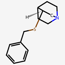 c1ccc(CS[C@@H]2CN3CCC2CC3)cc1